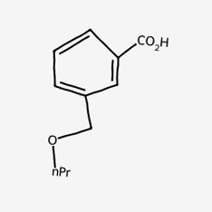 CCCOCc1cccc(C(=O)O)c1